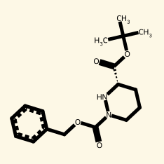 CC(C)(C)OC(=O)[C@@H]1CCCN(C(=O)OCc2ccccc2)N1